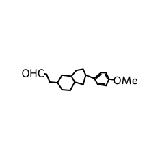 COc1ccc(C2CCC3CC(CCC=O)CCC3C2)cc1